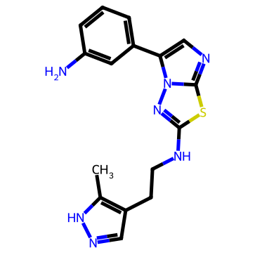 Cc1[nH]ncc1CCNc1nn2c(-c3cccc(N)c3)cnc2s1